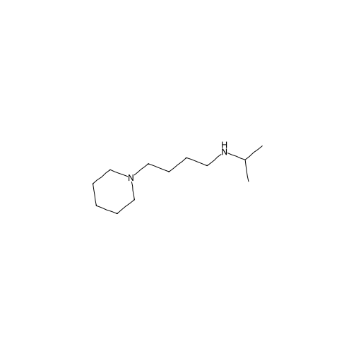 CC(C)NCCCCN1CCCCC1